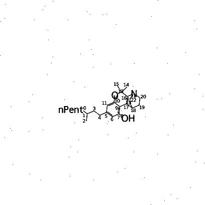 CCCCCC(C)CCc1cc(O)c2c(c1)OC(C)(C)C1=C2C2CCN1CC2